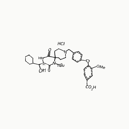 CCCCN1C(=O)[C@@H](C(O)C2CCCCC2)NC(=O)C12CCN(Cc1ccc(Oc3ccc(C(=O)O)cc3OC)cc1)CC2.Cl